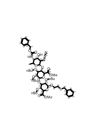 CCCCOC1[C@@H](O[C@H]2OC(C)[C@H](NC(=O)OCc3ccccc3)[C@H](O)C2N=[N+]=[N-])C(C(=O)OC)O[C@H](OC2[C@@H](OCCCC)C(C(=O)OC)O[C@H](OCCSCc3ccccc3)[C@H]2OCCCC)[C@H]1OCCCC